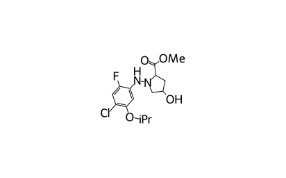 COC(=O)C1CC(O)CN1Nc1cc(OC(C)C)c(Cl)cc1F